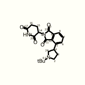 CC(C)(C)N1CCC(c2cccc3c2C(=O)N(C2CCC(=O)NC2=O)C3=O)C1